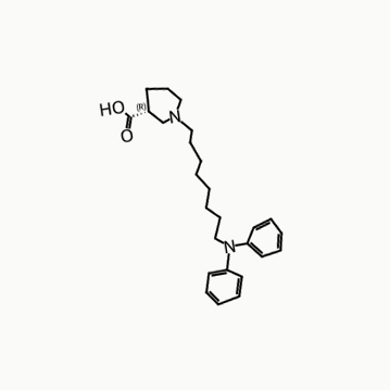 O=C(O)[C@@H]1CCCN(CCCCCCCCN(c2ccccc2)c2ccccc2)C1